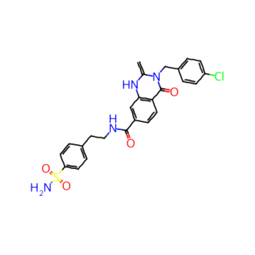 C=C1Nc2cc(C(=O)NCCc3ccc(S(N)(=O)=O)cc3)ccc2C(=O)N1Cc1ccc(Cl)cc1